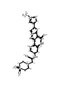 Cn1cc(-c2cn3nc4c5ncc(NC(=O)CN6CCS(=O)(=O)CC6)cc5[nH]c(=O)c4c3s2)cn1